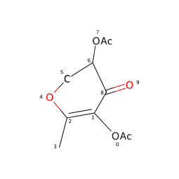 CC(=O)OC1=C(C)OCC(OC(C)=O)C1=O